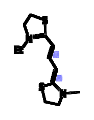 CC[N+]1=C(/C=C/C=C2\SCCN2C)SCC1